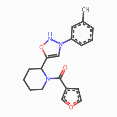 N#Cc1cccc(N2C=C(C3CCCCN3C(=O)c3ccoc3)ON2)c1